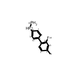 Cc1ccc(-c2ccc(PP)cc2)c(F)c1